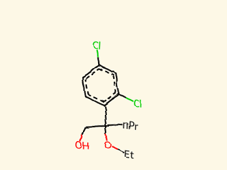 CCCC(CO)(OCC)c1ccc(Cl)cc1Cl